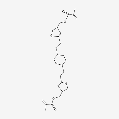 C=C(C)C(=O)OCC1CSC(CSC2CCC(SCC3SCC(COC(=O)C(=C)C)S3)CC2)S1